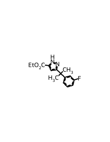 CCOC(=O)c1cc(C(C)(C)c2cccc(F)c2)n[nH]1